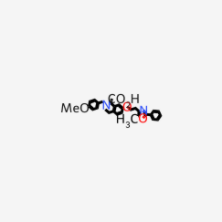 COc1ccc(CN2CCc3ccc(OCCc4nc(-c5ccccc5)oc4C)cc3C2C(=O)O)cc1